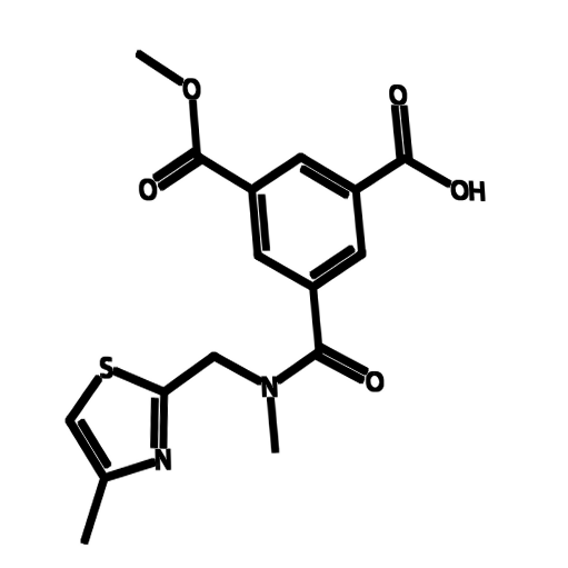 COC(=O)c1cc(C(=O)O)cc(C(=O)N(C)Cc2nc(C)cs2)c1